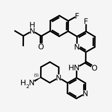 CC(C)NC(=O)c1ccc(F)c(-c2nc(C(=O)Nc3cnccc3N3CCC[C@H](N)C3)ccc2F)c1